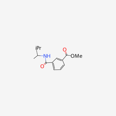 COC(=O)c1cccc(C(=O)NC(C)C(C)C)c1